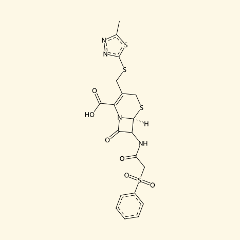 Cc1nnc(SCC2=C(C(=O)O)N3C(=O)C(NC(=O)CS(=O)(=O)c4ccccc4)[C@@H]3SC2)s1